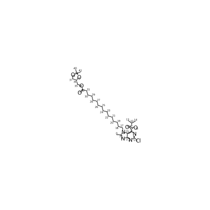 Cc1nc2nc(Cl)nc(S(=O)(=O)C(C)C)c2n1CCCCCCCCCCCCCCCC(=O)OC[C@H]1COC(C)(C)O1